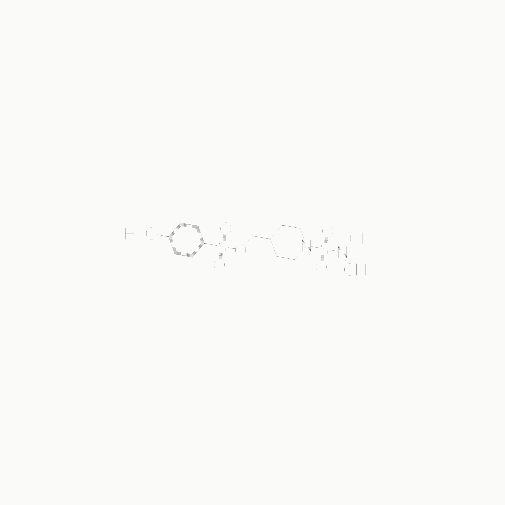 Cc1ccc(S(=O)(=O)OCC2CCN(S(=O)(=O)N(C)C)CC2)cc1